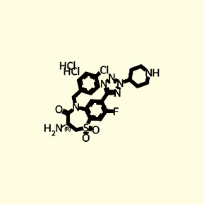 Cl.Cl.N[C@H]1CS(=O)(=O)c2cc(F)c(-c3nnn(C4CCNCC4)n3)cc2N(Cc2ccc(Cl)cc2)C1=O